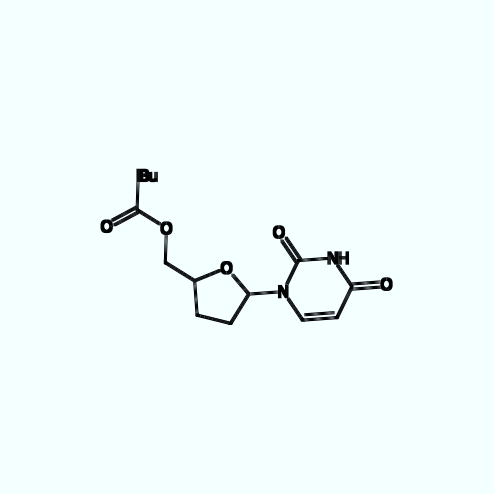 CCC(C)C(=O)OCC1CCC(n2ccc(=O)[nH]c2=O)O1